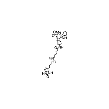 COC(=O)C1Cc2c([nH]c3ccccc23)C(c2ccc(NC(=O)CCCCCNC(=O)CCCCC3SCC4NC(=O)NC43)cc2)N1